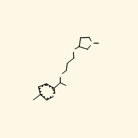 O=C(O)N1CCC(NCCCNC(c2ccc(Br)cn2)C(F)(F)F)C1